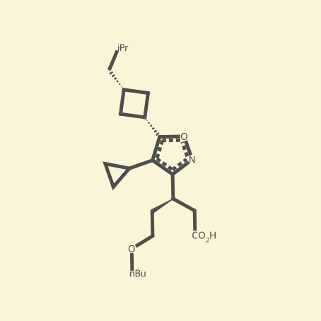 CCCCOCC[C@H](CC(=O)O)c1noc([C@H]2C[C@@H](CC(C)C)C2)c1C1CC1